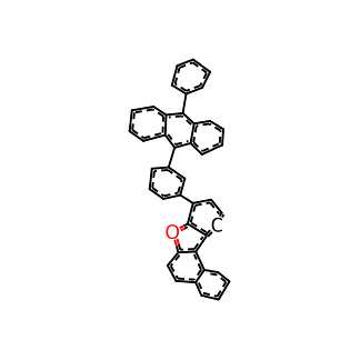 c1ccc(-c2c3ccccc3c(-c3cccc(-c4cccc5c4oc4ccc6ccccc6c45)c3)c3ccccc23)cc1